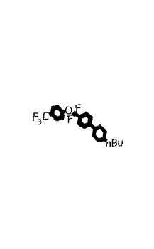 CCCCC1CCC(c2ccc(C(F)(F)Oc3ccc(C(F)(F)F)cc3)cc2)CC1